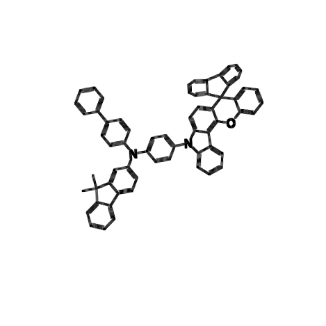 CC1(C)c2ccccc2-c2ccc(N(c3ccc(-c4ccccc4)cc3)c3ccc(-n4c5ccccc5c5c6c(ccc54)C4(c5ccccc5O6)c5ccccc5-c5ccccc54)cc3)cc21